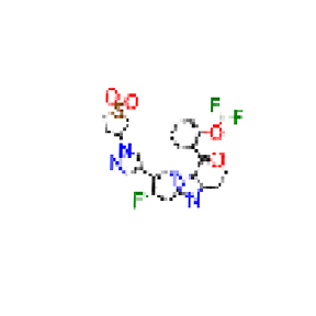 O=S1(=O)CCC(n2cc(-c3cn4c5c(nc4cc3F)CCO[C@@H]5c3ccccc3OC(F)F)cn2)C1